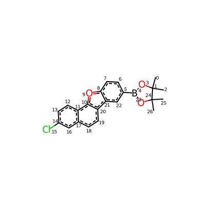 CC1(C)OB(c2ccc3oc4c5ccc(Cl)cc5ccc4c3c2)OC1(C)C